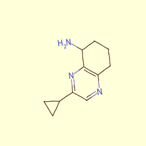 NC1CCCc2ncc(C3CC3)nc21